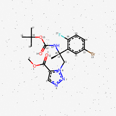 COC(=O)c1cnnn1C[C@](C)(NC(=O)OC(C)(C)C)c1cc(Br)ccc1F